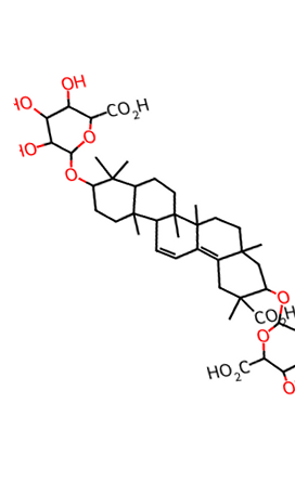 CC12CCC3(C)C(=C1CC(C)(C(=O)O)C(OC1OC(C(=O)O)C(O)C(O)C1O)C2)C=CC1C2(C)CCC(OC4OC(C(=O)O)C(O)C(O)C4O)C(C)(C)C2CCC13C